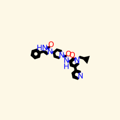 O=C(Nc1cc(-c2cccnc2)cn(CC2CC2)c1=O)N1CCC(n2cc(-c3ccccc3)[nH]c2=O)CC1